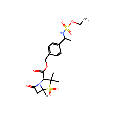 CC(NS(=O)(=O)OCC(Cl)(Cl)Cl)c1ccc(COC(=O)[C@@H]2N3C(=O)C[C@H]3S(=O)(=O)C2(C)C)cc1